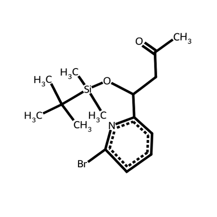 CC(=O)CC(O[Si](C)(C)C(C)(C)C)c1cccc(Br)n1